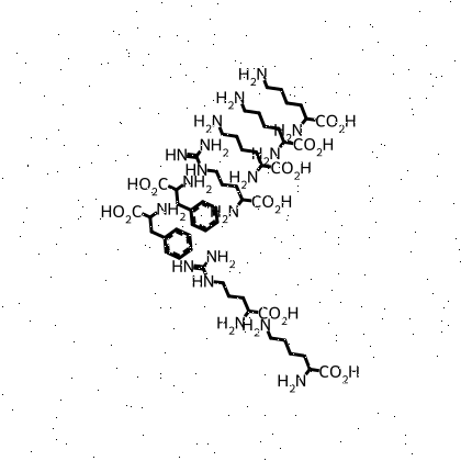 N=C(N)NCCCC(N)C(=O)O.N=C(N)NCCCC(N)C(=O)O.NC(Cc1ccccc1)C(=O)O.NC(Cc1ccccc1)C(=O)O.NCCCCC(N)C(=O)O.NCCCCC(N)C(=O)O.NCCCCC(N)C(=O)O.NCCCCC(N)C(=O)O